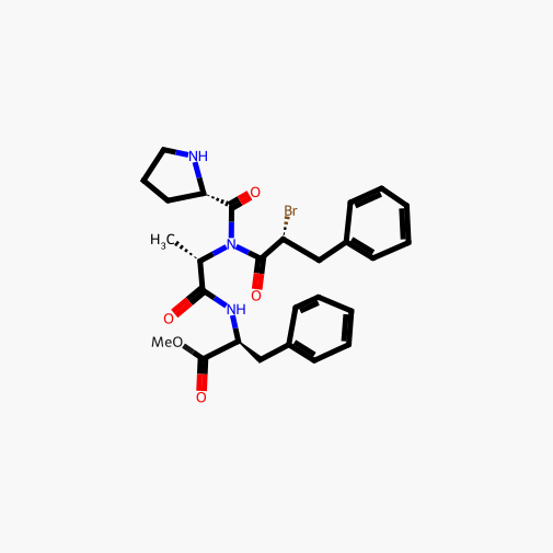 COC(=O)[C@H](Cc1ccccc1)NC(=O)[C@H](C)N(C(=O)[C@H](Br)Cc1ccccc1)C(=O)[C@@H]1CCCN1